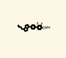 C=CCCC1CCC2C(c3ccc(-c4ccc(OC)c(F)c4F)cc3)=CCC12